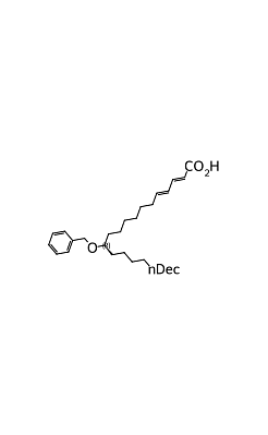 CCCCCCCCCCCCCC[C@H](CCCCCCC=CC=CC(=O)O)OCc1ccccc1